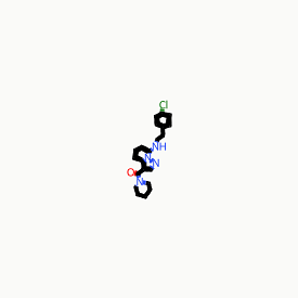 O=C(c1cnn2c(NCCc3ccc(Cl)cc3)cccc12)N1CCCCC1